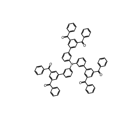 O=C(c1ccccc1)c1cc(C(=O)c2ccccc2)cc(-c2cccc(N(c3cccc(-c4cc(C(=O)c5ccccc5)cc(C(=O)c5ccccc5)c4)c3)c3cccc(-c4cc(C(=O)c5ccccc5)cc(C(=O)c5ccccc5)c4)c3)c2)c1